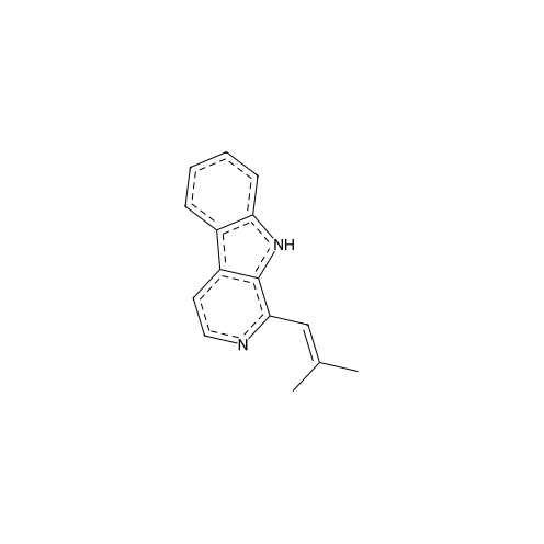 CC(C)=Cc1nccc2c1[nH]c1ccccc12